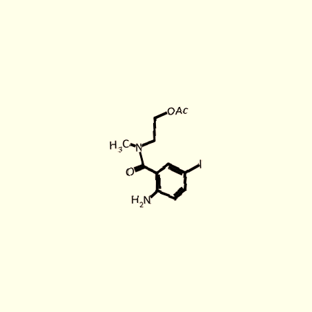 CC(=O)OCCN(C)C(=O)c1cc(I)ccc1N